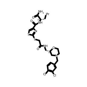 CC(C)C[C@H](NC(=O)c1csc(SCC(=O)NC[C@H]2CN(Cc3ccc(Cl)c(Cl)c3)CCO2)n1)C(N)=O